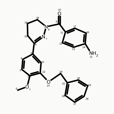 COc1ccc(C2=NN(C(=O)c3ccc(N)cc3)CCC2)cc1OCc1ccccc1